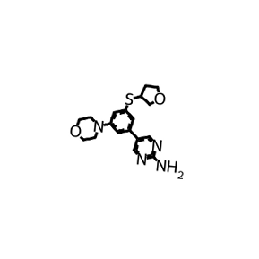 Nc1ncc(-c2cc(SC3CCOC3)cc(N3CCOCC3)c2)cn1